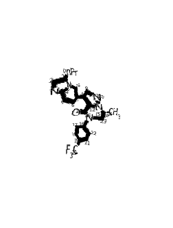 CCCc1cnc2ccc(-c3cnn4c3C(=O)N(c3ccc(C(F)(F)F)cc3)C[C@@H]4C)cn12